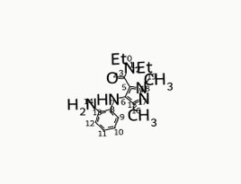 CCN(CC)C(=O)c1c(Nc2ccccc2N)c(C)nn1C